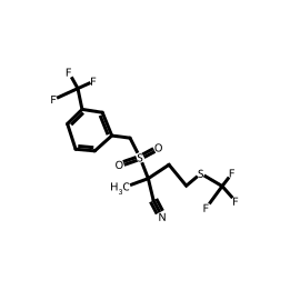 CC(C#N)(CCSC(F)(F)F)S(=O)(=O)Cc1cccc(C(F)(F)F)c1